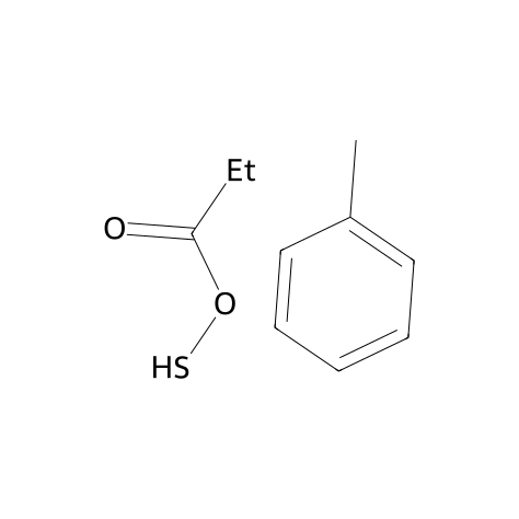 CCC(=O)OS.Cc1ccccc1